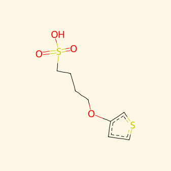 O=S(=O)(O)CCCCOc1ccsc1